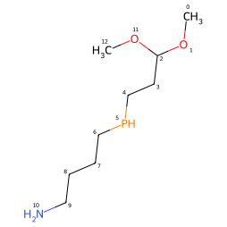 COC(CCPCCCCN)OC